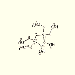 OC[N+](CO)(CO)C[N+](CO)(CO)CO